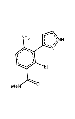 CCc1c(C(=O)NC)ccc(N)c1-c1cc[nH]n1